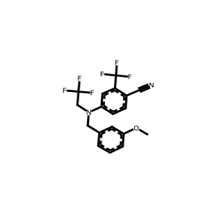 COc1cccc(CN(CC(F)(F)F)c2ccc(C#N)c(C(F)(F)F)c2)c1